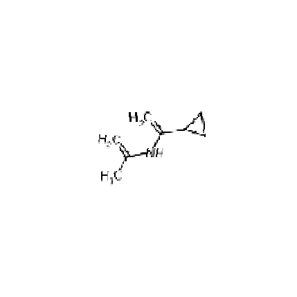 C=C(C)NC(=C)C1CC1